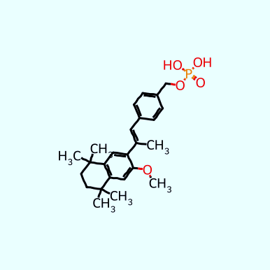 COc1cc2c(cc1C(C)=Cc1ccc(COP(=O)(O)O)cc1)C(C)(C)CCC2(C)C